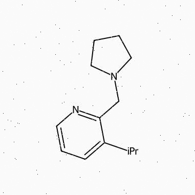 CC(C)c1cccnc1CN1CCCC1